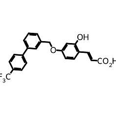 O=C(O)/C=C/c1ccc(OCc2cccc(-c3ccc(C(F)(F)F)cc3)c2)cc1O